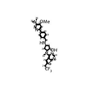 COc1cc(-c2ccc(CN[C@H]3C[C@@H](O)[C@@H](N(C)c4ncnc5sc(CC(F)(F)F)cc45)C3)cc2)nnc1N(C)C